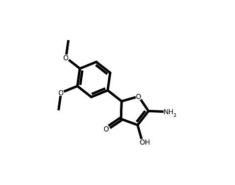 COc1ccc(C2OC(N)=C(O)C2=O)cc1OC